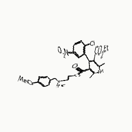 CCCN(CCOC(=O)C1=C(C)NC(C)=C(C(=O)OCC)C1c1cc([N+](=O)[O-])ccc1Cl)Cc1ccc(OC)cc1